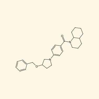 O=C(c1ccc(N2CCC(OCc3ccccc3)C2)cc1)N1CCCC2CCCCC21